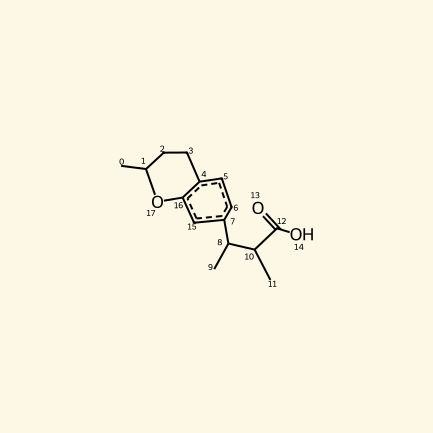 CC1CCc2ccc(C(C)C(C)C(=O)O)cc2O1